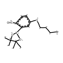 CC1(C)OB(c2cc(OCCCBr)ccc2C=O)OC1(C)C